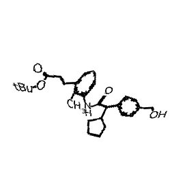 Cc1c(CCC(=O)OC(C)(C)C)cccc1NC(=O)C(c1ccc(CO)cc1)C1CCCC1